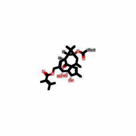 CCCCCC(=O)O[C@@]12CC(C)C34C=C(C)[C@H](O)[C@@]3(O)[C@H](O)C(COC(=O)C(C)=C(C)C)=C[C@H](C4=O)[C@@H]1C2(C)C